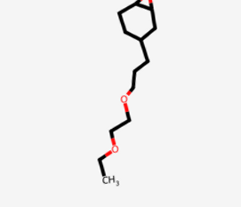 CCOCCOCCCC1CCC2OC2C1